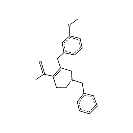 COc1cccc(CC2=C(C(C)=O)CCN(Cc3ccccc3)C2)c1